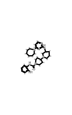 CCc1ccccc1NC(=O)N1CCC(N2CCCC(Nc3nccc(N4CCCCCC4)n3)C2)CC1